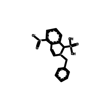 O=[N+]([O-])c1cccc2c1C=CN(Cc1ccccc1)C2P(=O)(O)O